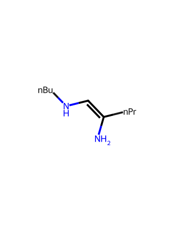 CCCCN/C=C(\N)CCC